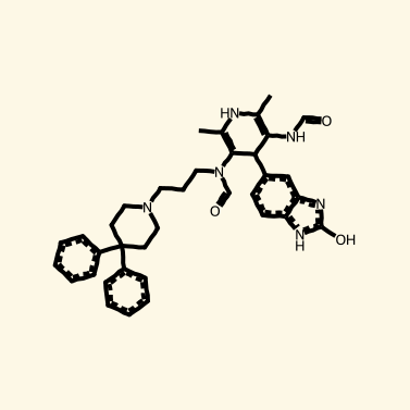 CC1=C(NC=O)C(c2ccc3[nH]c(O)nc3c2)C(N(C=O)CCCN2CCC(c3ccccc3)(c3ccccc3)CC2)=C(C)N1